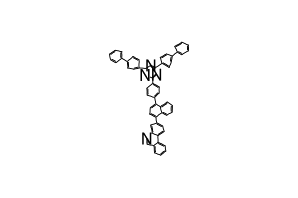 c1ccc(-c2ccc(-c3nc(-c4ccc(-c5ccccc5)cc4)nc(-c4ccc(-c5ccc(-c6ccc7c(c6)ncc6ccccc67)c6ccccc56)cc4)n3)cc2)cc1